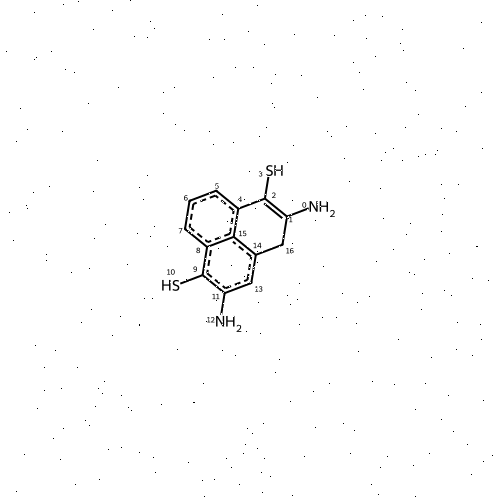 NC1=C(S)c2cccc3c(S)c(N)cc(c23)C1